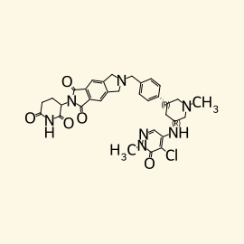 CN1C[C@H](Nc2cnn(C)c(=O)c2Cl)C[C@H](c2ccc(CN3Cc4cc5c(cc4C3)C(=O)N(C3CCC(=O)NC3=O)C5=O)cc2)C1